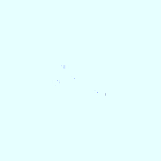 CC(C)N1CC(CNC(N)N)C1